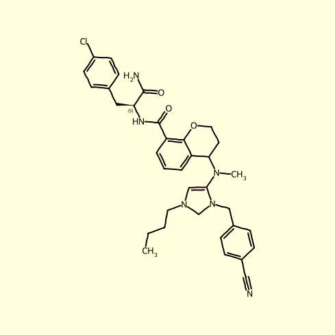 CCCCN1C=C(N(C)C2CCOc3c(C(=O)N[C@@H](Cc4ccc(Cl)cc4)C(N)=O)cccc32)N(Cc2ccc(C#N)cc2)C1